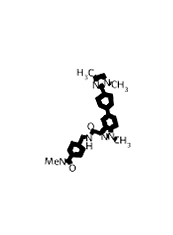 CNC(=O)c1ccc(CNC(=O)c2nn(C)c3ccc(-c4ccc(-c5nc(C)cn5C)cc4)cc23)cc1